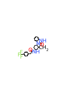 C=C1C[C@H](NC(=O)Cc2ccc(C(F)(F)F)cc2)CC[C@H]1n1c(=O)[nH]c2ccccc21